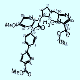 COC(=O)c1ccc(-c2ccc(-n3c(=O)n([C@H]4CCN(Cc5ncc(C(=O)OC(C)(C)C)n5C)C4)c4ncc(OC)cc43)cc2)cc1